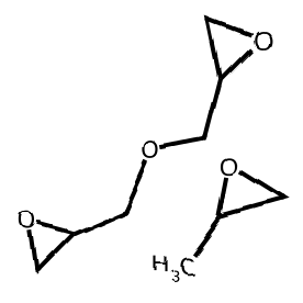 C(OCC1CO1)C1CO1.CC1CO1